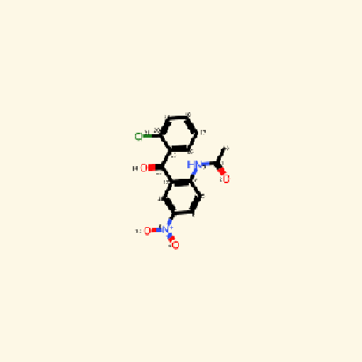 CC(=O)Nc1ccc([N+](=O)[O-])cc1C(=O)c1ccccc1Cl